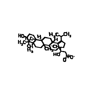 CC(C)C1=C2[C@H]3CC[C@@H]4[C@@]5(C)CC[C@H](O)C(C)(C)[C@H]5CC[C@@]4(C)[C@]3(C)CC[C@@]2(C(O)C[N+](=O)[O-])CC1